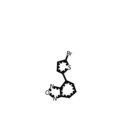 Brc1ccc(-c2cccc3nonc23)s1